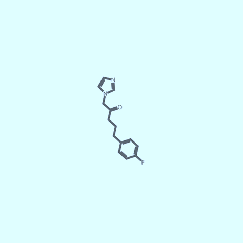 O=C(CCCc1ccc(F)cc1)Cn1ccnc1